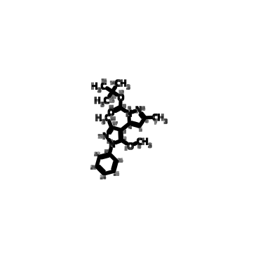 COc1c(-c2cc(C)nn2C(=O)OC(C)(C)C)c(C)nn1-c1ccccc1